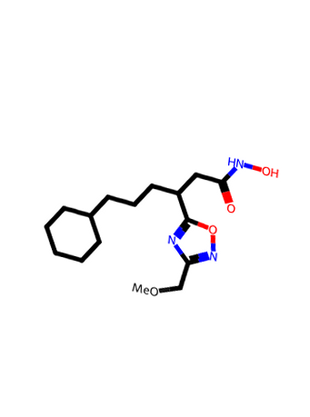 COCc1noc(C(CCCC2CCCCC2)CC(=O)NO)n1